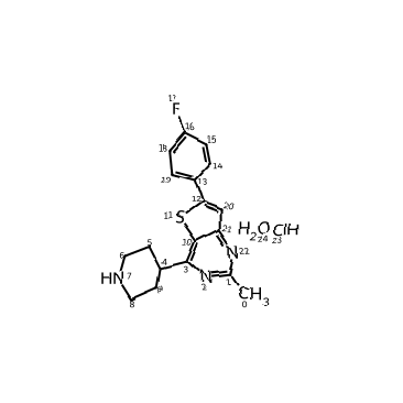 Cc1nc(C2CCNCC2)c2sc(-c3ccc(F)cc3)cc2n1.Cl.O